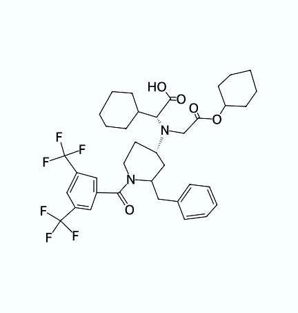 O=C(CN([C@H]1CCN(C(=O)c2cc(C(F)(F)F)cc(C(F)(F)F)c2)C(Cc2ccccc2)C1)[C@@H](C(=O)O)C1CCCCC1)OC1CCCCC1